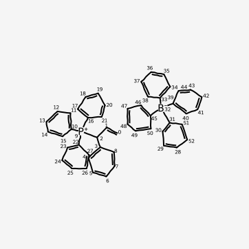 C=CC(c1ccccc1)[P+](c1ccccc1)(c1ccccc1)c1ccccc1.c1ccc([B-](c2ccccc2)(c2ccccc2)c2ccccc2)cc1